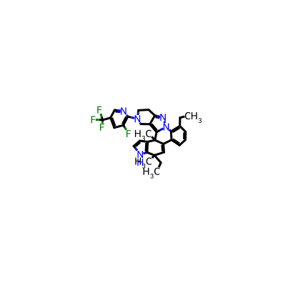 CCc1cccc2c1-n1nc3c(c1C1(C)C2=CC(C)(CC)c2[nH]ccc21)CN(c1ncc(C(F)(F)F)cc1F)CC3